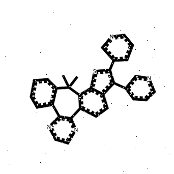 CC1(C)c2ccccc2-c2nccnc2-c2ccc3c(-c4cccnc4)c(-c4cccnc4)sc3c21